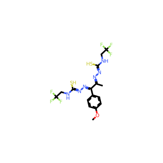 COc1ccc(C(=N\N=C(/S)NCC(F)(F)F)/C(C)=N/N=C(\S)NCC(F)(F)F)cc1